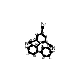 N#CC1=CC(C#N)=P(c2ccccc2)(c2ccccc2)C(C#N)=C1